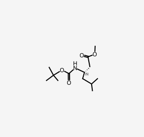 COC(=O)C[C@H](CC(C)C)NC(=O)OC(C)(C)C